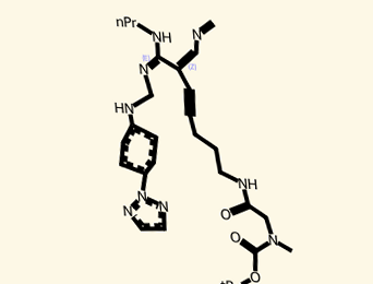 C=N/C=C(C#CCCCNC(=O)CN(C)C(=O)OC(C)(C)C)\C(=N/CNc1ccc(-n2nccn2)cc1)NCCC